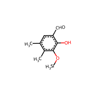 Cc1cc(C=O)c(O)c(O[SiH3])c1C